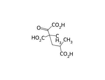 CC(CC(C)(C(=O)O)C(=O)C(=O)O)C(=O)O